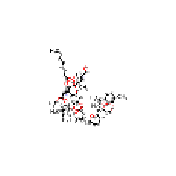 CCCCCCCC(=O)O[C@H]1/C(=C/C(=O)OC)C[C@@H](C[C@H](CO[Si](C)(C)C(C)(C)C)OC(=O)C[C@H](C)C[C@@H]2CCC[C@H](C[C@@H]3CCOC4(C[C@H](C)CC[C@H]4C(C)C)O3)O2)O[C@@]1(O)C(C)(C)/C=C/C=O